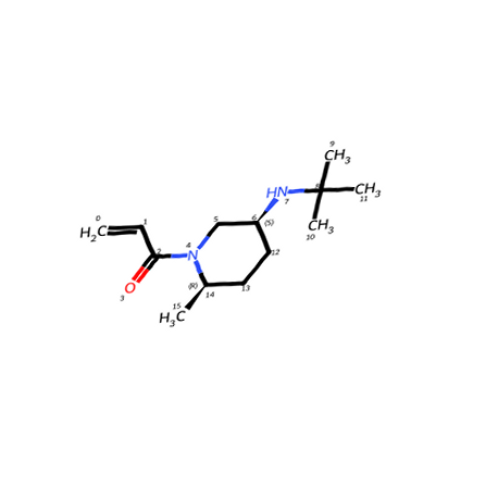 C=CC(=O)N1C[C@@H](NC(C)(C)C)CC[C@H]1C